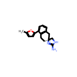 Cc1ccc(-c2cccc3c2CC[C@@]2(CNC(N)=N2)C3)o1